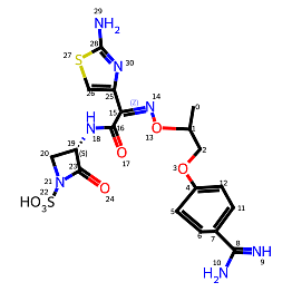 CC(COc1ccc(C(=N)N)cc1)O/N=C(\C(=O)N[C@H]1CN(S(=O)(=O)O)C1=O)c1csc(N)n1